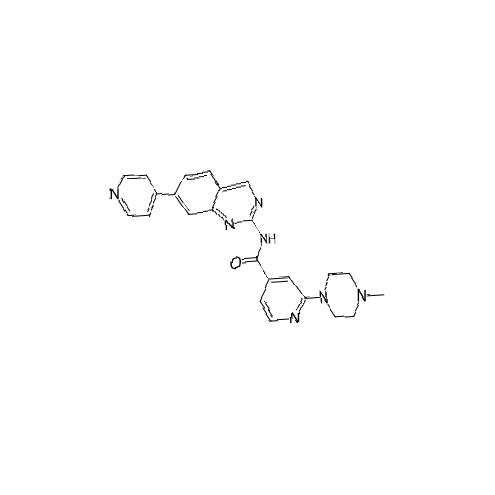 CN1CCN(c2cc(C(=O)Nc3ncc4ccc(-c5ccncc5)cc4n3)ccn2)CC1